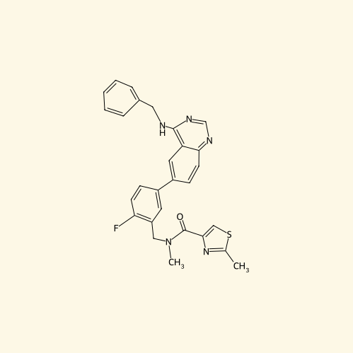 Cc1nc(C(=O)N(C)Cc2cc(-c3ccc4ncnc(NCc5ccccc5)c4c3)ccc2F)cs1